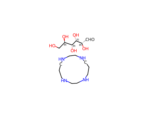 C1CNCCNCCCNCCNC1.O=C[C@H](O)[C@@H](O)[C@H](O)[C@H](O)CO